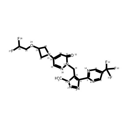 Cn1nnc(-c2ncc(C(F)(F)F)cn2)c1Cn1ncc(N2CC(OCC(F)F)C2)cc1=O